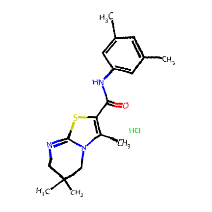 CC1=C(C(=O)Nc2cc(C)cc(C)c2)SC2=NCC(C)(C)CN21.Cl